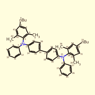 CCCCc1cc(C)c(N(c2ccccc2)c2ccc(-c3ccc(N(c4ccccc4)c4c(C)cc(CCCC)cc4C)cc3)cc2)c(C)c1